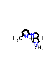 Cc1cccc(N2CC[C@H]3CN(C)C[C@H]32)n1